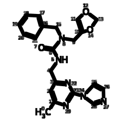 Cc1cc(CNC(=O)N(CC2=COCO2)Cc2ccccc2)nc(-n2ccnc2)n1